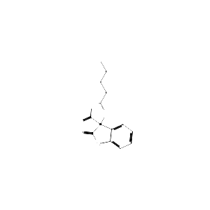 CCCCCOC1(C(N)=O)C(=O)Nc2ccccc21